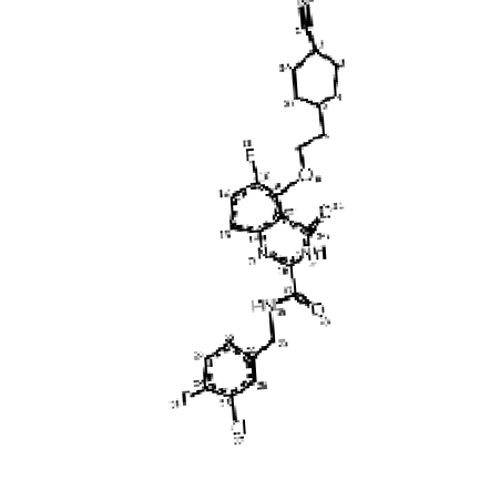 N#CC1CCC(CCOc2c(F)ccc3nc(C(=O)NCc4ccc(F)c(Cl)c4)[nH]c(=O)c23)CC1